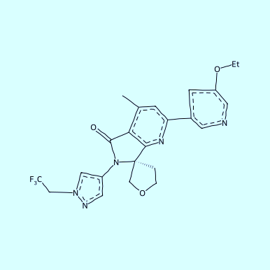 CCOc1cncc(-c2cc(C)c3c(n2)[C@]2(CCOC2)N(c2cnn(CC(F)(F)F)c2)C3=O)c1